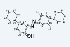 Cc1cc(C2CCCCC2)c(C)cc1N=Nc1cc(C2CCCCC2)ccc1O